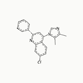 Cc1ncn(-c2cc(-c3ccccc3)nc3cc(Cl)ccc23)c1C